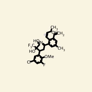 C=Cc1cc(C)cc(C(=N)CC(c2cc(Cl)cc(F)c2OC)C(O)(CO)C(F)(F)F)c1/C=C\C(C)O